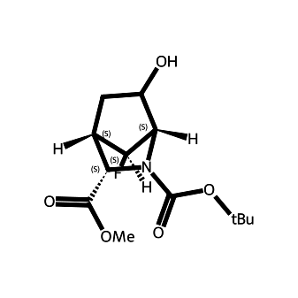 COC(=O)[C@@H]1[C@@H]2CC(O)[C@@H]([C@H]2F)N1C(=O)OC(C)(C)C